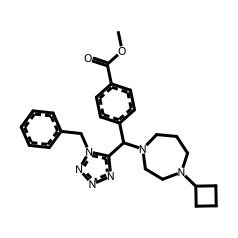 COC(=O)c1ccc(C(c2nnnn2Cc2ccccc2)N2CCCN(C3CCC3)CC2)cc1